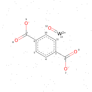 O=C([O-])c1ccc(C(=O)[O-])cc1.[O]=[W+2]